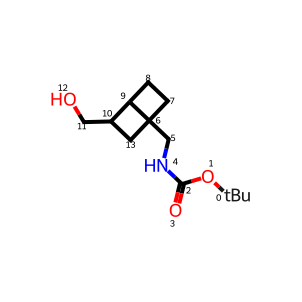 CC(C)(C)OC(=O)NCC12CCC1C(CO)C2